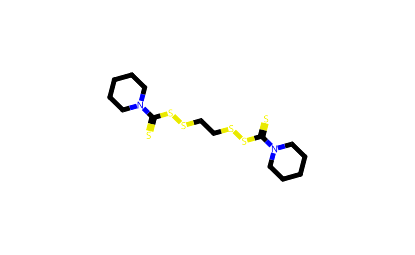 S=C(SSCCSSC(=S)N1CCCCC1)N1CCCCC1